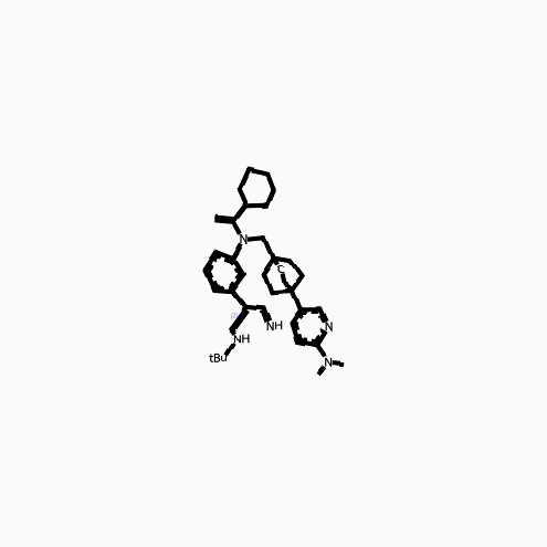 C=C(C1CCCCC1)N(CC12CCC(c3ccc(N(C)C)nc3)(CC1)CC2)c1cccc(/C(C=N)=C/NC(C)(C)C)c1